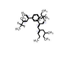 C/C=C(\C=C(/C)C(C)(F)F)c1ccc(C)c(C(/C=N\C(C)(C)CC)=C/C(=C/CC)CC(C)CC)c1